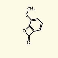 CSc1cc[c]c2c1OC2=O